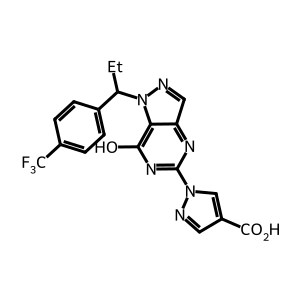 CCC(c1ccc(C(F)(F)F)cc1)n1ncc2nc(-n3cc(C(=O)O)cn3)nc(O)c21